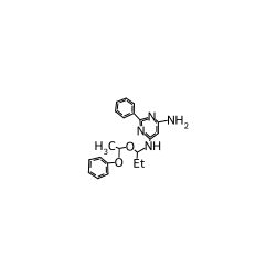 CCC(Nc1cc(N)nc(-c2ccccc2)n1)OC(C)Oc1ccccc1